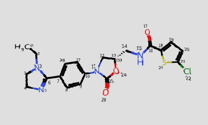 CCN1CCN=C1c1ccc(N2C[C@H](CNC(=O)c3ccc(Cl)s3)OC2=O)cc1